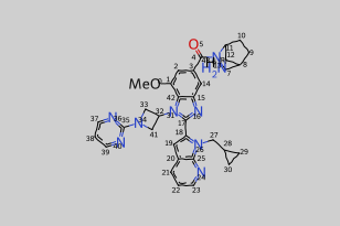 COc1cc(C(=O)N2CC3CCC2[C@@H]3N)cc2nc(-c3cc4cccnc4n3CC3CC3)n(C3CN(c4ncccn4)C3)c12